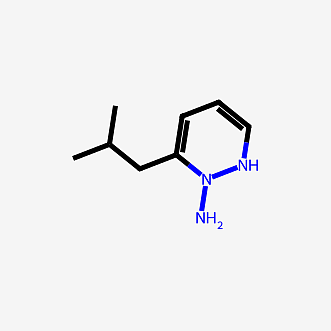 CC(C)CC1=CC=CNN1N